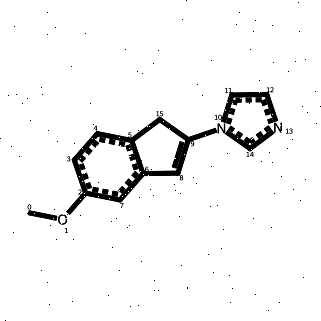 COc1ccc2c(c1)C=C(n1ccnc1)C2